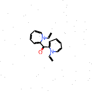 C=CN1C=CC=CC=C1C(=O)C1=CC=CC=CN1C=C